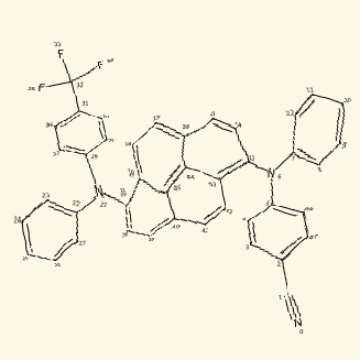 N#Cc1ccc(N(c2ccccc2)c2ccc3ccc4c(N(c5ccccc5)c5ccc(C(F)(F)F)cc5)ccc5ccc2c3c54)cc1